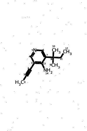 CC#Cc1cncc(C(C)(C)CC)c1N